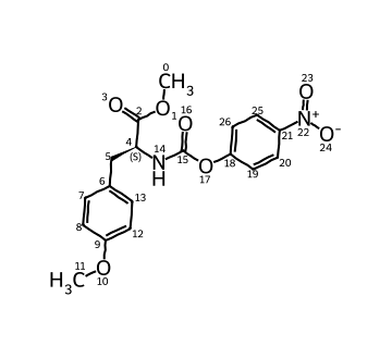 COC(=O)[C@H](Cc1ccc(OC)cc1)NC(=O)Oc1ccc([N+](=O)[O-])cc1